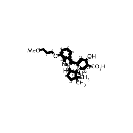 COCCCOc1cccc2c3n(nc12)[C@H]1CCC(C)(C)[C@H]1N1C=C(C(=O)O)C(O)C=C31